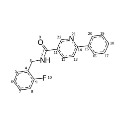 O=C(NCc1ccccc1F)c1ccc(-c2ccccc2)nc1